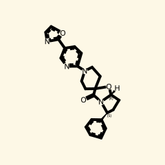 O=C1N2[C@@H](CC[C@H]2c2ccccc2)OC12CCN(c1ccc(-c3ncco3)cn1)CC2